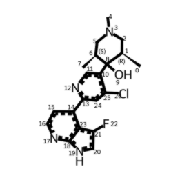 C[C@@H]1CN(C)C[C@H](C)C1(O)c1cnc(-c2ccnc3[nH]cc(F)c23)cc1Cl